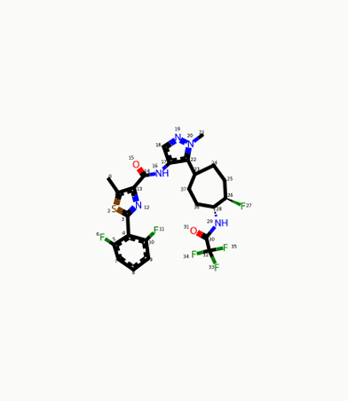 Cc1sc(-c2c(F)cccc2F)nc1C(=O)Nc1cnn(C)c1C1CC[C@@H](F)[C@H](NC(=O)C(F)(F)F)CC1